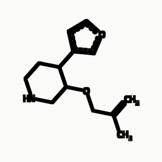 C=C(C)COC1CNCCC1c1ccoc1